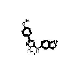 CCOc1ccc(-c2nc(Nc3ccc4[nH]ncc4c3)n(C)n2)cc1